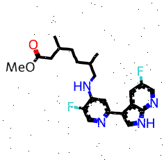 COC(=O)CC(C)CCC(C)CNc1cc(-c2c[nH]c3ncc(F)cc23)ncc1F